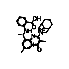 Cc1cc([C@@H](C)Nc2ccccc2C(=O)O)c2nc(N3CC4CCCC(C3)C4(F)F)c(C)c(=O)n2c1